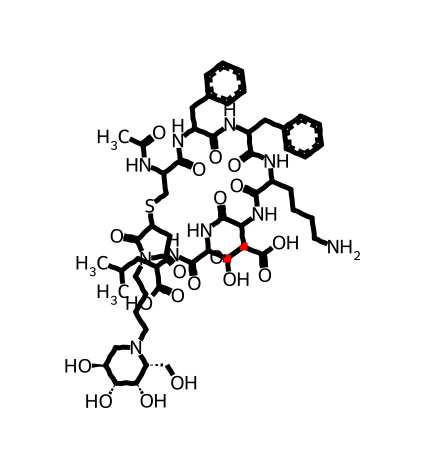 CC(=O)NC(CSC1CC(=O)N(CCCCN2C[C@H](O)[C@@H](O)[C@@H](O)[C@H]2CO)C1=O)C(=O)NC(Cc1ccccc1)C(=O)NC(Cc1ccccc1)C(=O)NC(CCCCN)C(=O)NC(CC(=O)O)C(=O)NC(CCC(=O)O)C(=O)NC(CC(C)C)C(=O)O